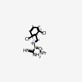 CCCON(/N=C/c1c(Cl)cccc1Cl)C(=N)N